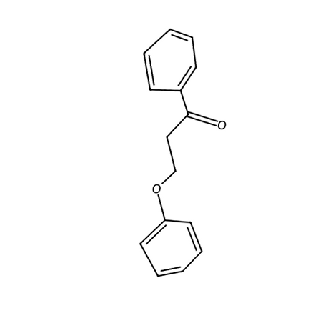 O=C(CCOc1ccccc1)c1ccccc1